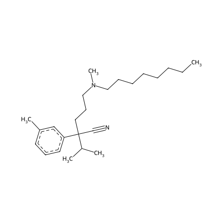 CCCCCCCCN(C)CCCC(C#N)(c1cccc(C)c1)C(C)C